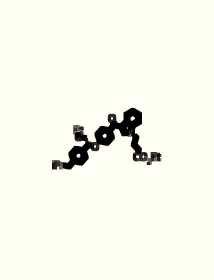 CCOC[C@H](Oc1ccc(C(=O)c2cn(CCCC(=O)OCC)c3ccccc23)cc1)c1ccc(CC(C)C)cc1